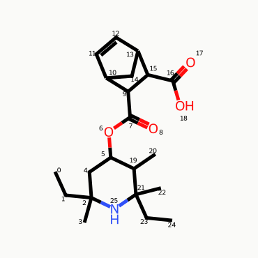 CCC1(C)CC(OC(=O)C2C3C=CC(C3)C2C(=O)O)C(C)C(C)(CC)N1